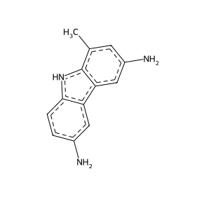 Cc1cc(N)cc2c1[nH]c1ccc(N)cc12